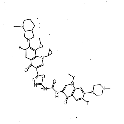 CCn1cc(NC(=O)Nc2nnc(-c3cn(C4CC4)c4c(OC)c(N5CC6CCCN(C)C6C5)c(F)cc4c3=O)o2)c(=O)c2cc(F)c(N3CCN(C)CC3)cc21